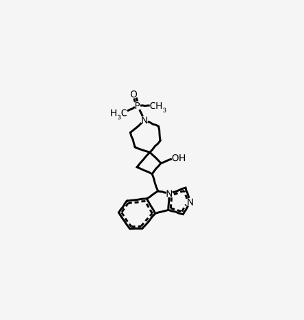 CP(C)(=O)N1CCC2(CC1)CC(C1c3ccccc3-c3cncn31)C2O